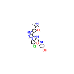 COc1cc2c(cc1C1=C(C)CN=C1C)[nH]c1nc(C)nc(N[C@H](CC(=O)N[C@H]3CC[C@H](O)CC3)c3cccc(Cl)c3)c12